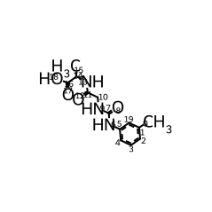 Cc1cccc(NC(=O)NCC(=O)NC(C)C(=O)O)c1